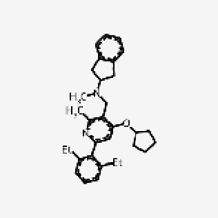 CCc1cccc(CC)c1-c1cc(OC2CCCC2)c(CN(C)C2Cc3ccccc3C2)c(C)n1